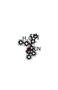 CC1(C)c2ccccc2-c2ccc(N(c3ccc(-c4ccccc4)cc3)c3ccc(-c4cccc5c4C4(c6ccccc6-5)C5CC6CC(C5)CC4C6)c(C#N)c3)cc21